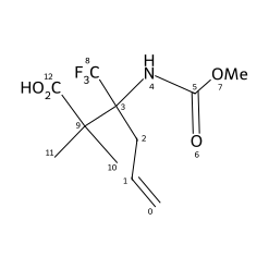 C=CCC(NC(=O)OC)(C(F)(F)F)C(C)(C)C(=O)O